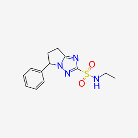 CCNS(=O)(=O)c1nc2n(n1)C(c1ccccc1)CC2